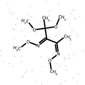 CON=C(C)C(=NOC)C(C)(OC)OC